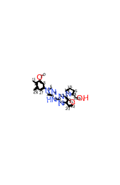 COc1cc(-n2cnc(Nc3nc(N4CCC[C@H]4CO)c4occc4n3)c2)cc(C)c1C